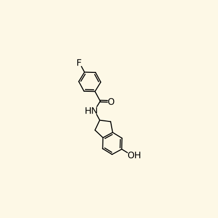 O=C(NC1Cc2ccc(O)cc2C1)c1ccc(F)cc1